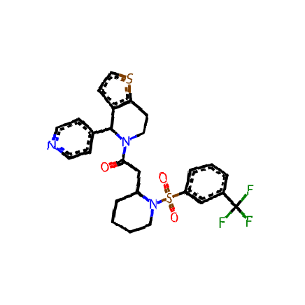 O=C(CC1CCCCN1S(=O)(=O)c1cccc(C(F)(F)F)c1)N1CCc2sccc2C1c1ccncc1